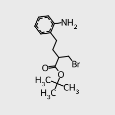 CC(C)(C)OC(=O)C(CBr)CCc1ccccc1N